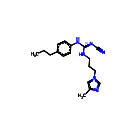 CCCc1ccc(N/C(=N/C#N)NCCCn2cnc(C)c2)cc1